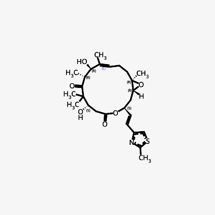 C/C1=C\CC[C@@]2(C)O[C@@H]2C[C@@H](C=Cc2csc(C)n2)OC(=O)C[C@H](O)C(C)(C)C(=O)[C@H](C)[C@H]1O